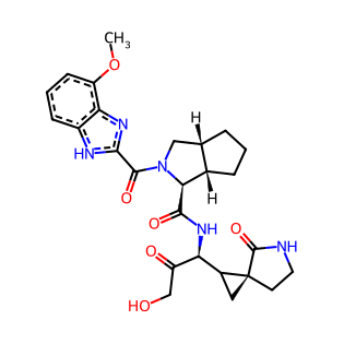 COc1cccc2[nH]c(C(=O)N3C[C@@H]4CCC[C@@H]4[C@H]3C(=O)N[C@H](C(=O)CO)C3C[C@@]34CCNC4=O)nc12